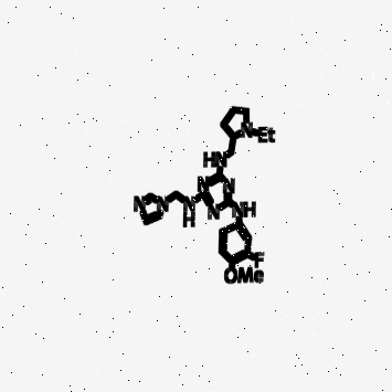 CCN1CCCC1CNc1nc(NCn2ccnc2)nc(Nc2ccc(OC)c(F)c2)n1